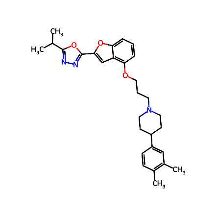 Cc1ccc(C2CCN(CCCOc3cccc4oc(-c5nnc(C(C)C)o5)cc34)CC2)cc1C